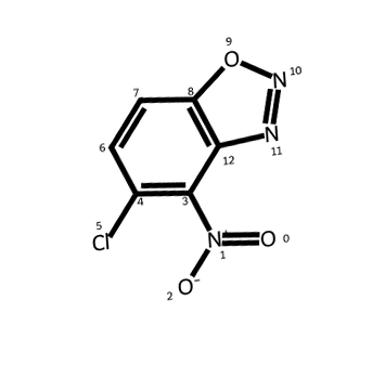 O=[N+]([O-])c1c(Cl)ccc2onnc12